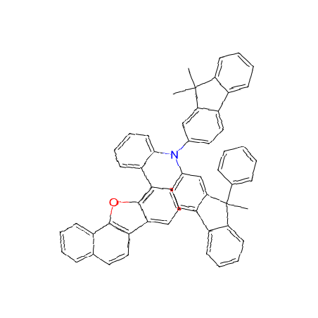 CC1(C)c2ccccc2-c2ccc(N(c3ccc4c(c3)C(C)(c3ccccc3)c3ccccc3-4)c3ccccc3-c3cccc4c3oc3c5ccccc5ccc43)cc21